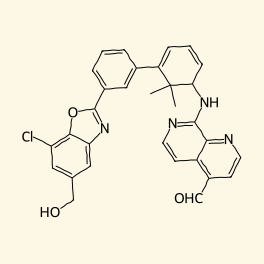 CC1(C)C(c2cccc(-c3nc4cc(CO)cc(Cl)c4o3)c2)=CC=CC1Nc1nccc2c(C=O)ccnc12